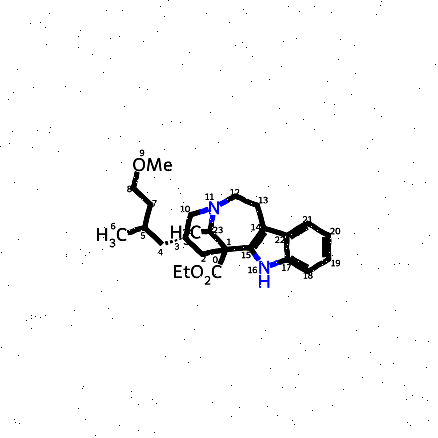 CCOC(=O)C12C[C@H](CC(C)CCOC)CN(CCc3c1[nH]c1ccccc31)C2C